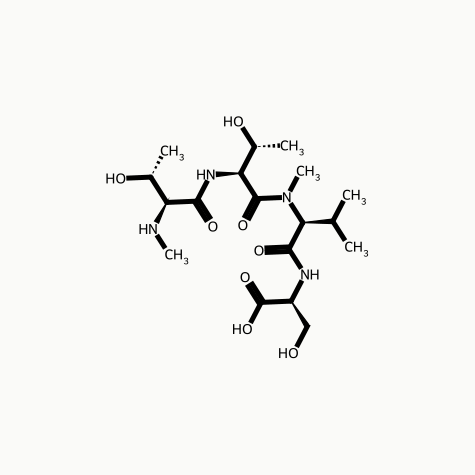 CN[C@H](C(=O)N[C@H](C(=O)N(C)[C@H](C(=O)N[C@@H](CO)C(=O)O)C(C)C)[C@@H](C)O)[C@@H](C)O